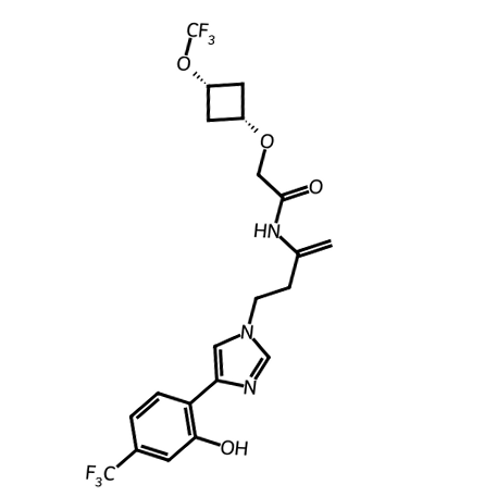 C=C(CCn1cnc(-c2ccc(C(F)(F)F)cc2O)c1)NC(=O)CO[C@H]1C[C@@H](OC(F)(F)F)C1